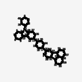 c1ccc(-n2c3ccccc3c3cc(-c4ccc(-c5ncc6c(n5)-c5cccc7cccc-6c57)cc4)ccc32)cc1